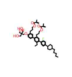 C=C(C)C(=O)OCCCc1cc(-c2cc(CC)c(-c3ccc(C4CCC(CCCCC)CC4)cc3F)cc2CCCOC(=O)C(=C)C)ccc1OCC(CO)(CO)CO